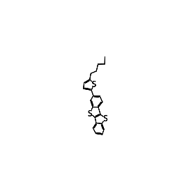 CCCCCc1ccc(-c2ccc3c(c2)sc2c4ccccc4sc32)s1